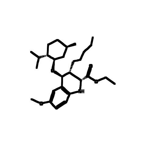 CCCCC[C@H]1[C@H](O[C@@H]2C[C@H](C)CC[C@H]2C(C)C)c2cc(OC)ccc2N[C@H]1C(=O)OCC